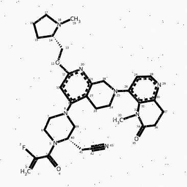 C=C(F)C(=O)N1CCN(c2cc(OC[C@@H]3CCCN3C)nc3c2CCN(c2ccnc4c2N(C)C(=O)CC4)C3)C[C@@H]1CC#N